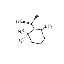 C=C(C(C)C)C1C(C)CCCC1(C)C